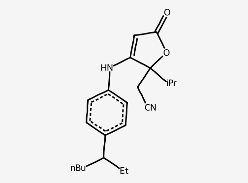 CCCCC(CC)c1ccc(NC2=CC(=O)OC2(CC#N)C(C)C)cc1